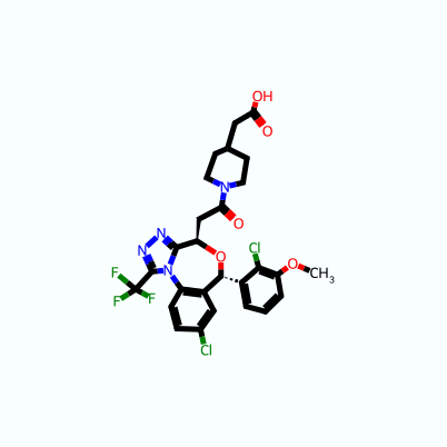 COc1cccc([C@H]2O[C@H](CC(=O)N3CCC(CC(=O)O)CC3)c3nnc(C(F)(F)F)n3-c3ccc(Cl)cc32)c1Cl